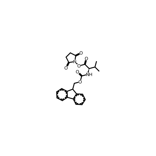 CC(C)[C@@H](NC(=O)OCC1c2ccccc2-c2ccccc21)C(=O)ON1C(=O)CCC1=O